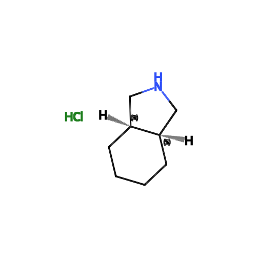 C1CC[C@H]2CNC[C@H]2C1.Cl